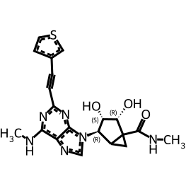 CNC(=O)C12CC1[C@@H](n1cnc3c(NC)nc(C#Cc4ccsc4)nc31)[C@H](O)[C@@H]2O